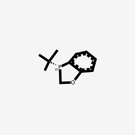 CC(C)(C)[P@@]1COc2ccccc21